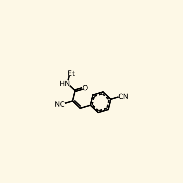 CCNC(=O)C(C#N)=Cc1ccc(C#N)cc1